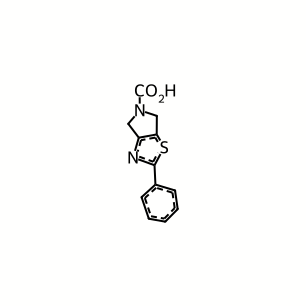 O=C(O)N1Cc2nc(-c3ccccc3)sc2C1